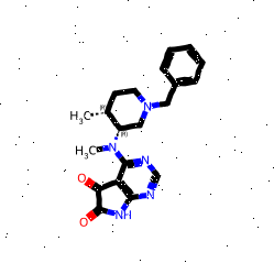 C[C@@H]1CCN(Cc2ccccc2)C[C@@H]1N(C)c1ncnc2c1C(=O)C(=O)N2